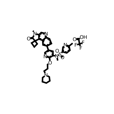 Cc1ccc(S(=O)(=O)N(C)c2cc(-c3ccc4ncc5c(c4c3)C3(CCC3)C(=O)N5C)cnc2OCCCN2CCCCC2)cn1.O=C(O)C(F)(F)F